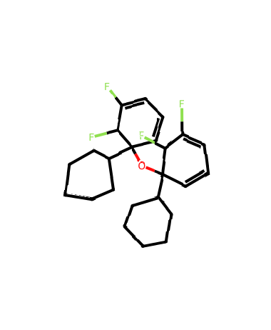 FC1=CC=CC(OC2(C3CCCCC3)C=CC=C(F)C2F)(C2CCCCC2)C1F